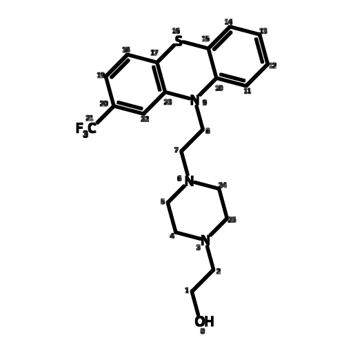 OCCN1CCN(CCN2c3ccccc3Sc3ccc(C(F)(F)F)cc32)CC1